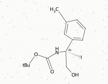 Cc1cccc([C@@](I)(CO)NC(=O)OC(C)(C)C)c1